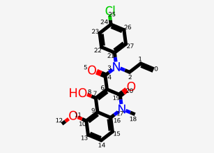 C=CCN(C(=O)c1c(O)c2c(OC)cccc2n(C)c1=O)c1ccc(Cl)cc1